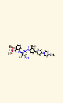 CCOP(=O)(Cc1ccccc1NC(/N=C/Nc1ccc(N2CCC(N3CCN(C)CC3)CC2)cc1OC)=C(\Cl)C=N)OCC